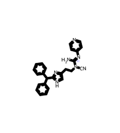 N#CN(CCc1c[nH]c(C(c2ccccc2)c2ccccc2)n1)/C(N)=N/c1ccncc1